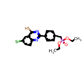 CCOP(=O)(Cc1ccc(-c2nc(S)c3cc(Br)ccc3n2)cc1)OCC